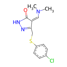 CN(C)/C=C1\C(=O)NN=C1CSc1ccc(Cl)cc1